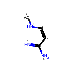 CC(=O)N/C=C\C(=N)N